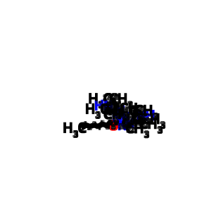 CCCCCCCCOc1nc(N(C)C2CC(C)(C)NC(C)(C)C2)nc(N(C)C2CC(C)(C)NC(C)(C)C2)n1